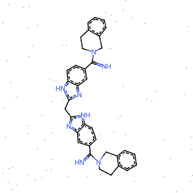 N=C(c1ccc2[nH]c(Cc3nc4cc(C(=N)N5CCc6ccccc6C5)ccc4[nH]3)nc2c1)N1CCc2ccccc2C1